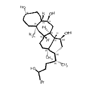 CC(C)C(O)CC[C@@H](C)[C@H]1C[C@H](O)[C@H]2[C@@H]3C[C@H](O)[C@H]4C[C@@H](O)CC[C@]4(C)[C@H]3CC[C@@]21C